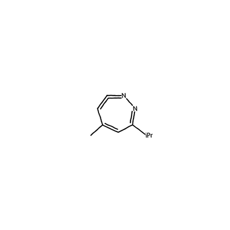 CC1=CC(C(C)C)=NN=C=C1